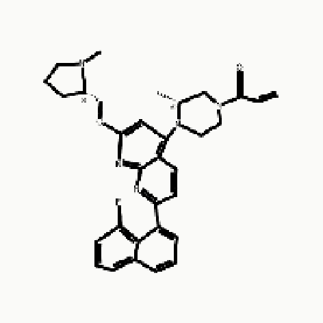 C=CC(=O)N1CCN(c2cc(OC[C@@H]3CCCN3C)nc3nc(-c4cccc5cccc(F)c45)ccc23)[C@H](C)C1